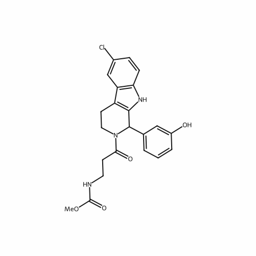 COC(=O)NCCC(=O)N1CCc2c([nH]c3ccc(Cl)cc23)C1c1cccc(O)c1